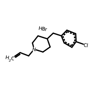 Br.C=CCN1CCC(Cc2ccc(Cl)cc2)CC1